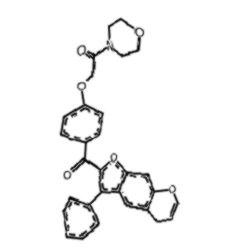 O=C(c1ccc(OCC(=O)N2CCOCC2)cc1)c1oc2cc3c(cc2c1-c1ccccc1)CC=CO3